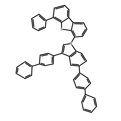 c1ccc(-c2ccc(-c3ccc4c(c3)c(-c3ccc(-c5ccccc5)cc3)cn4-c3cccc4c3sc3c(-c5ccccc5)cccc34)cc2)cc1